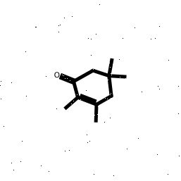 CC1=C(C)C(=O)CC(C)(C)C1